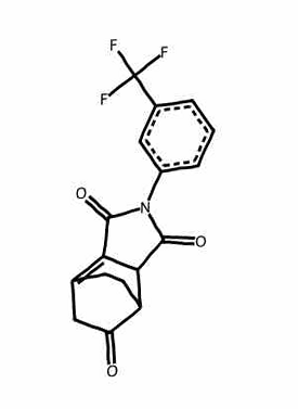 O=C1CC2=C3C(=O)N(c4cccc(C(F)(F)F)c4)C(=O)C3C1CC2